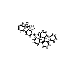 CC1(C)c2ccccc2-c2ccc(Nc3ccccc3-c3ccccc3-c3ccccc3-c3ccccc3)cc21